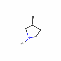 CCCN1CC[C@H](C)C1